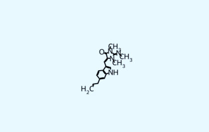 C=CCc1ccc2c(C=C3C(=O)N(C)C(=NC)N3C)c[nH]c2c1